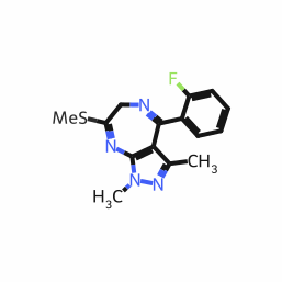 CSC1=Nc2c(c(C)nn2C)C(c2ccccc2F)=NC1